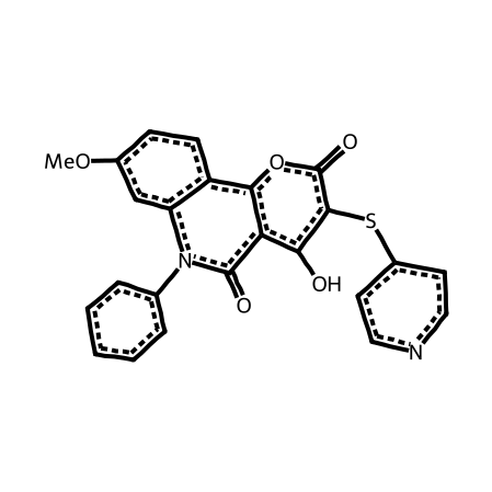 COc1ccc2c3oc(=O)c(Sc4ccncc4)c(O)c3c(=O)n(-c3ccccc3)c2c1